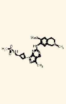 COc1cc2c(cc1Nc1ncc3c(C)nn([C@H]4C[C@H](CNS(C)(=O)=O)C4)c3n1)CN(C)CC2